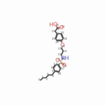 CCCCCc1ccc(S(=O)(=O)NCCCOc2ccc(CC(=O)O)cc2)cc1